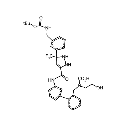 CC(C)(C)OC(=O)NCc1cccc(C2(C(F)(F)F)C=C(C(=O)Nc3cccc(-c4ccccc4CN(CCO)C(=O)O)c3)NN2)c1